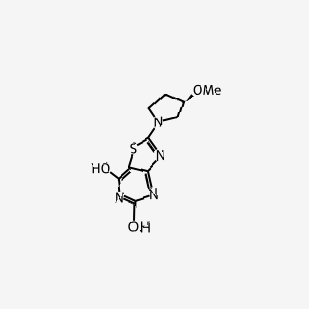 CO[C@@H]1CCN(c2nc3nc(O)nc(O)c3s2)C1